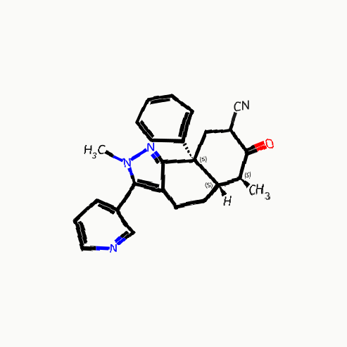 C[C@@H]1C(=O)C(C#N)C[C@]2(c3ccccc3)c3nn(C)c(-c4cccnc4)c3CC[C@@H]12